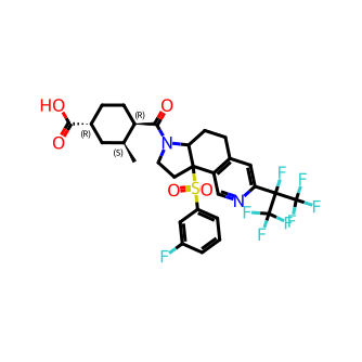 C[C@H]1C[C@H](C(=O)O)CC[C@H]1C(=O)N1CCC2(S(=O)(=O)c3cccc(F)c3)c3cnc(C(F)(C(F)(F)F)C(F)(F)F)cc3CCC12